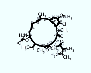 CCC1C[C@](N)(OC=O)C/C=C/C=C(\C)Cc2cc(OC)c(Cl)c(c2)N(C)C(=O)C[C@H](CC(=O)C(C)N(C)C)C2(C)OC2[C@@H]1C